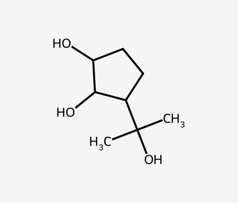 CC(C)(O)C1CCC(O)C1O